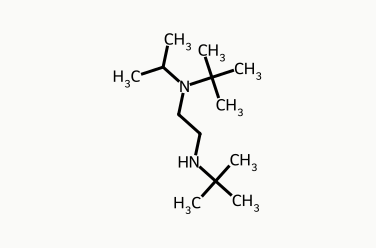 CC(C)N(CCNC(C)(C)C)C(C)(C)C